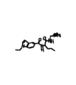 CCCC(NC(=O)c1ccc2c(ccn2CC)c1)C(=O)NCC#N